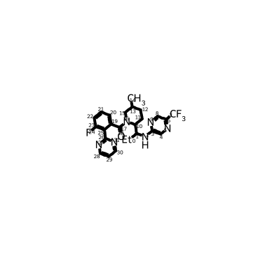 CCC(Nc1cnc(C(F)(F)F)cn1)C1CCC(C)CN1C(=O)c1cccc(F)c1-c1ncccn1